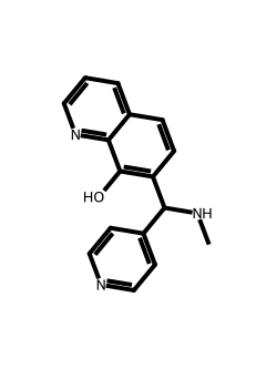 CNC(c1ccncc1)c1ccc2cccnc2c1O